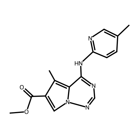 COC(=O)c1cn2ncnc(Nc3ccc(C)cn3)c2c1C